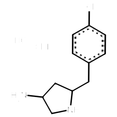 Cl.Cl.NC1CNC(Cc2ccc(Cl)cc2)C1